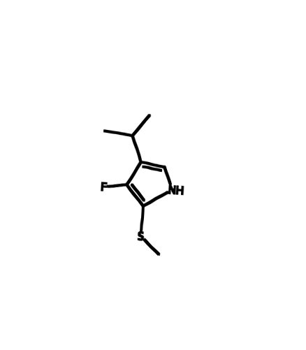 CSc1[nH]cc(C(C)C)c1F